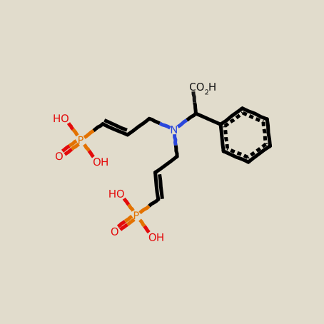 O=C(O)C(c1ccccc1)N(CC=CP(=O)(O)O)CC=CP(=O)(O)O